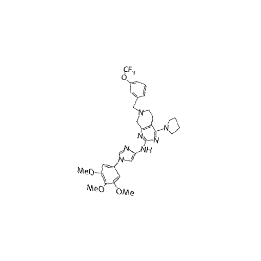 COc1cc(-n2cnc(Nc3nc4c(c(N5CCCC5)n3)CCN(Cc3cccc(OC(F)(F)F)c3)C4)c2)cc(OC)c1OC